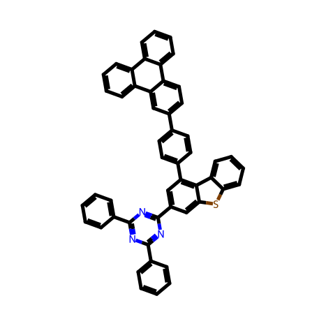 c1ccc(-c2nc(-c3ccccc3)nc(-c3cc(-c4ccc(-c5ccc6c7ccccc7c7ccccc7c6c5)cc4)c4c(c3)sc3ccccc34)n2)cc1